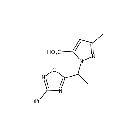 Cc1cc(C(=O)O)n(C(C)c2nc(C(C)C)no2)n1